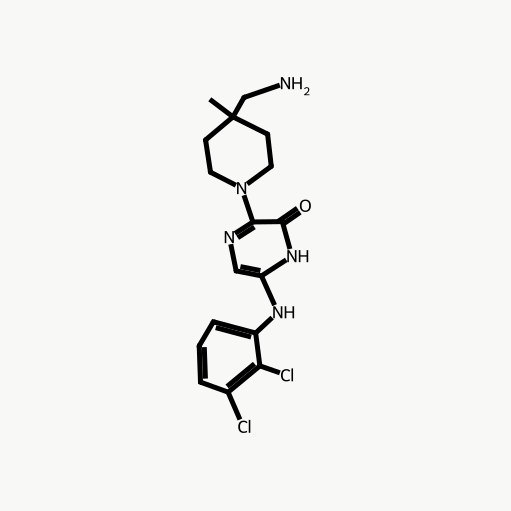 CC1(CN)CCN(c2ncc(Nc3cccc(Cl)c3Cl)[nH]c2=O)CC1